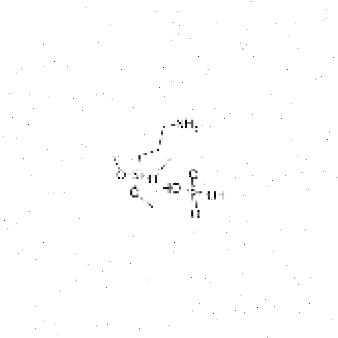 CO[Si](CCCN)(OC)OC.O=S(=O)(O)O